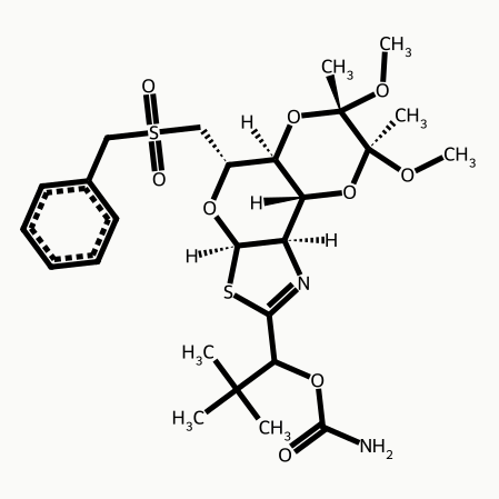 CO[C@@]1(C)O[C@@H]2[C@H]3N=C(C(OC(N)=O)C(C)(C)C)S[C@H]3O[C@H](CS(=O)(=O)Cc3ccccc3)[C@H]2O[C@]1(C)OC